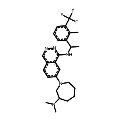 Cc1c(C(C)Nc2nncc3ccc(N4CCCCC(N(C)C)C4)cc23)cccc1C(F)(F)F